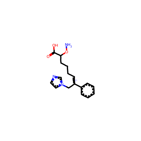 NOC(CCC/C=C(\Cn1ccnc1)c1ccccc1)C(=O)O